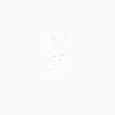 COC(=O)c1ccc2c(c1)SCC(Br)=C2c1ccc(CC2CCN(CCCF)C2)cc1